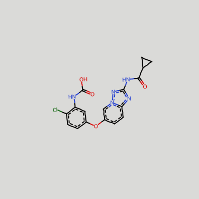 O=C(O)Nc1cc(Oc2ccc3nc(NC(=O)C4CC4)nn3c2)ccc1Cl